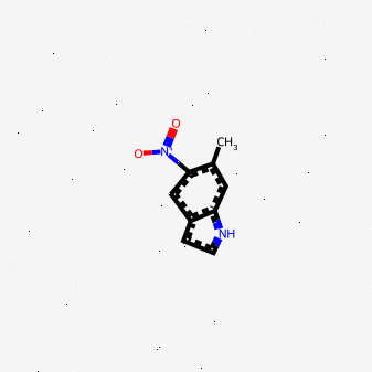 Cc1cc2[nH]ccc2cc1[N+](=O)[O-]